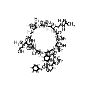 C=C(N)NCCC[C@H]1NC(=O)[C@H](CC(C)C)NC(=O)[C@H]([C@H](O)C(C)C)NC(=O)[C@@H](NC(=O)[C@H](CC(C)C)NC(=O)[C@@H](CC(C)C)NC(=O)OCc2ccccc2)[C@@H](c2ccccc2)OC(=O)[C@H](CC)NC(=O)[C@H]([C@H](O)C(=O)N(C)CCO)NC(=O)CNC(=O)[C@H]([C@H](C)O)NC(=O)[C@H]([C@@H](C)CC)NC1=O